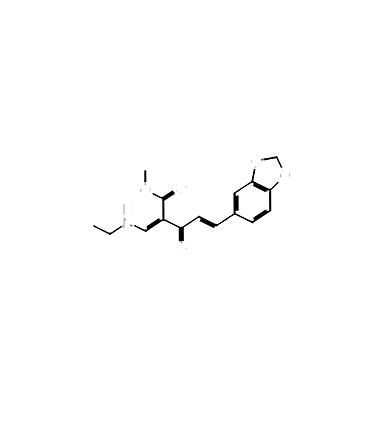 CCNC=C(C(=O)C=Cc1ccc2c(c1)OCO2)C(=O)OC